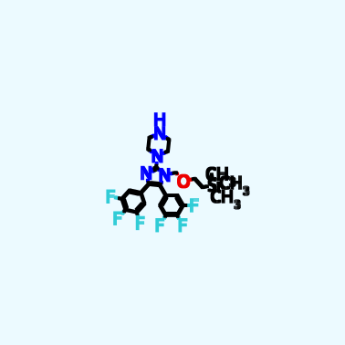 C[Si](C)(C)CCOCn1c(N2CCNCC2)nc(-c2cc(F)c(F)c(F)c2)c1-c1cc(F)c(F)c(F)c1